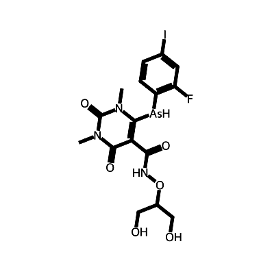 Cn1c([AsH]c2ccc(I)cc2F)c(C(=O)NOC(CO)CO)c(=O)n(C)c1=O